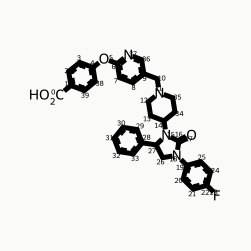 O=C(O)c1ccc(Oc2ccc(CN3CCC(N4C(=O)N(c5ccc(F)cc5)CC4c4ccccc4)CC3)cn2)cc1